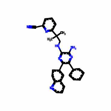 CC(C)(CNc1nc(-c2ccc3ncccc3c2)c(-c2ccccc2)nc1N)c1cccc(C#N)n1